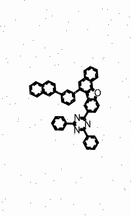 c1ccc(-c2nc(-c3ccccc3)nc(-c3ccc4oc5c6ccccc6cc(-c6cccc(-c7ccc8ccccc8c7)c6)c5c4c3)n2)cc1